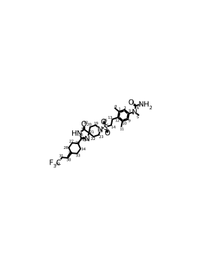 Cc1cc(N(C)C(N)=O)cc(C)c1CCS(=O)(=O)N1CCC2(CC1)N=C(C1CCC(=CCC(F)(F)F)CC1)NC2=O